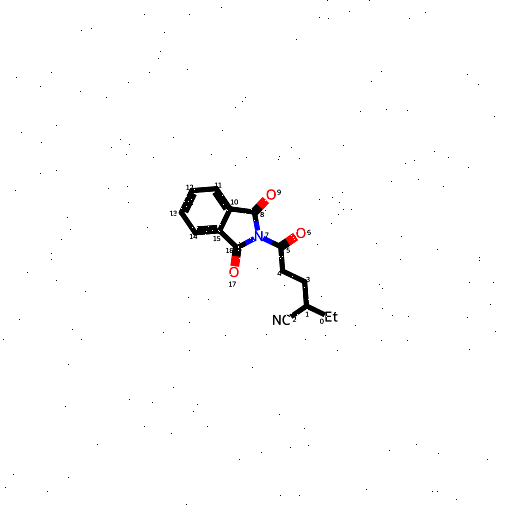 CCC(C#N)CCC(=O)N1C(=O)c2ccccc2C1=O